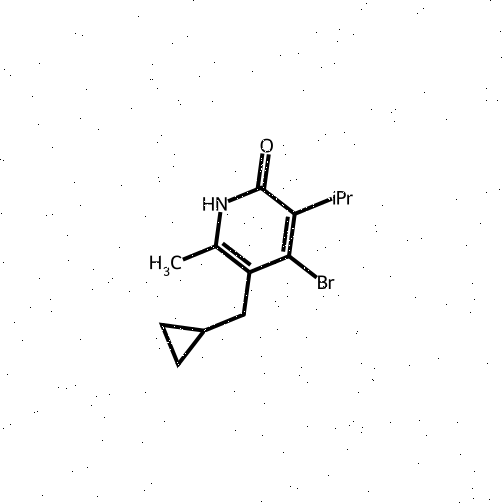 Cc1[nH]c(=O)c(C(C)C)c(Br)c1CC1CC1